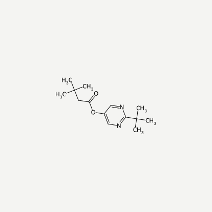 CC(C)(C)CC(=O)Oc1cnc(C(C)(C)C)nc1